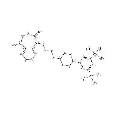 CC(C)(C)c1cc(N2CCN(CCCCN3C(=O)CCC(=O)c4ccccc43)CC2)nc(C(C)(C)C)n1